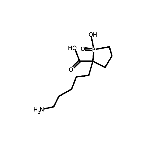 NCCCCCC1(C(=O)O)CCCP1(=O)O